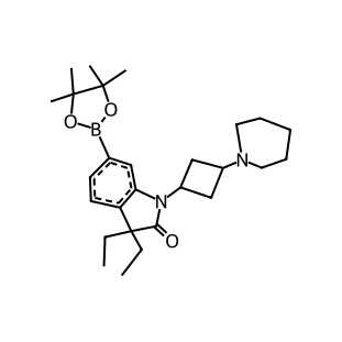 CCC1(CC)C(=O)N(C2CC(N3CCCCC3)C2)c2cc(B3OC(C)(C)C(C)(C)O3)ccc21